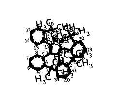 CC(C)(C)c1ccccc1C1=C(c2ccccc2C(C)(C)C)[Si](C)(C)C(c2ccccc2C(C)(C)C)=C1c1ccccc1C(C)(C)C